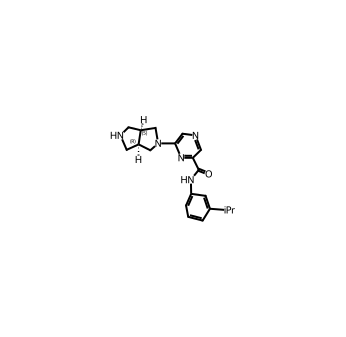 CC(C)c1cccc(NC(=O)c2cncc(N3C[C@H]4CNC[C@H]4C3)n2)c1